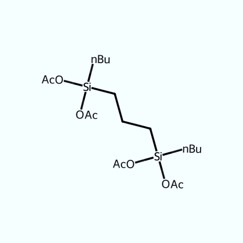 CCCC[Si](CCC[Si](CCCC)(OC(C)=O)OC(C)=O)(OC(C)=O)OC(C)=O